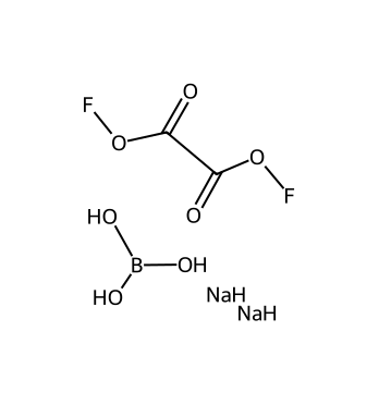 O=C(OF)C(=O)OF.OB(O)O.[NaH].[NaH]